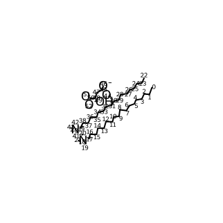 CCCCCCCCCCCCCCCCCC[N+](C)(C)C.CCCCCCCCCCCCCCCCCC[N+](C)(C)C.O=C([O-])CC(O)C(=O)[O-]